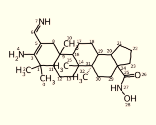 CC1(C)C(N)=C(C=N)CC2(C)C1CCC1(C)C2CCC2C3CCCC3(C(=O)NO)CC[C@]21C